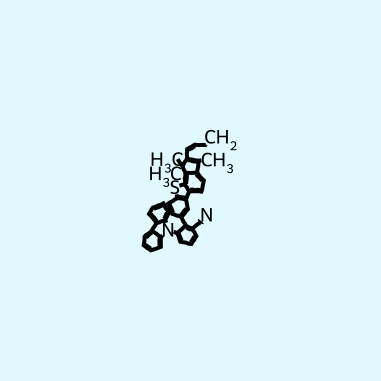 C=C/C=C\C1=C(C)c2ccc3c(sc4ccc(-c5c(C#N)cccc5-n5c6ccccc6c6ccccc65)cc43)c2C1(C)C